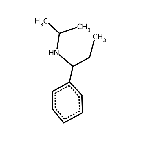 CCC(NC(C)C)c1ccccc1